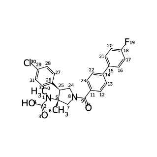 CN(C(=O)O)[C@@]1(C)CN(C(=O)c2ccc(-c3ccc(F)cc3)cc2)C[C@@H]1c1ccc(Cl)cc1